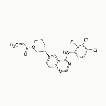 C=CC(=O)N1CCC[C@@H](c2ccc3ncnc(Nc4ccc(Cl)c(Cl)c4F)c3c2)C1